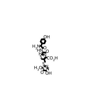 Cn1c(SCC2=C(C(=O)O)N3C(=O)C(NC(=O)C(N)c4ccc(O)cc4)[C@H]3SC2)nnc(O)c1=O